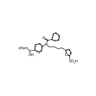 CCCCCC(O)c1ccc(N(CCCCc2ccc(S(=O)(=O)O)o2)C(=O)c2ccccc2)cn1